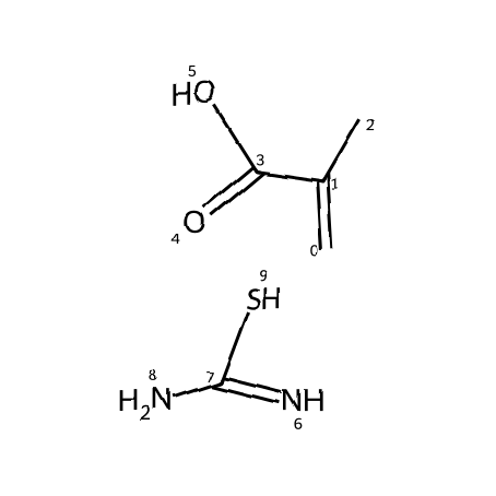 C=C(C)C(=O)O.N=C(N)S